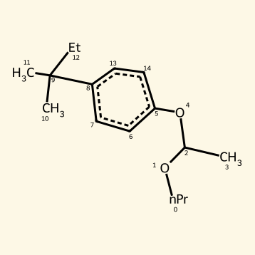 CCCOC(C)Oc1ccc(C(C)(C)CC)cc1